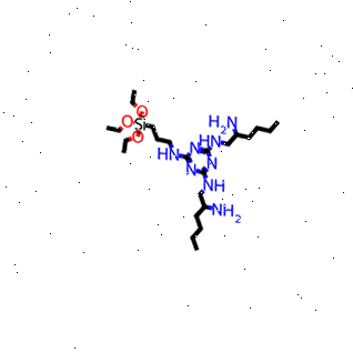 CCCCC(N)CNc1nc(NCCC[Si](OCC)(OCC)OCC)nc(NCC(N)CCCC)n1